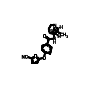 C[C@H]1[C@H](NC(=O)c2ccc(Oc3ccc(C#N)o3)cc2)C2CCN1CC2